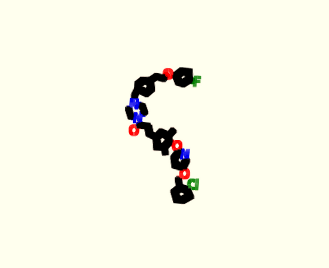 Cc1cc(/C=C/C(=O)N2CCN(Cc3ccc(CCOc4ccc(F)cc4)cc3)CC2)cc(C)c1Oc1ccc(OCc2ccccc2Cl)cn1